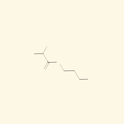 CCC(CC)C(=O)OCCCO